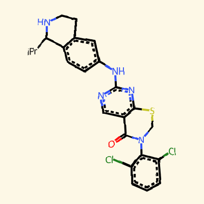 CC(C)C1NCCc2cc(Nc3ncc4c(n3)SCN(c3c(Cl)cccc3Cl)C4=O)ccc21